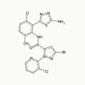 Cc1ccc(Cl)c(-c2nnc(N)s2)c1NC(=O)c1cc(Br)nn1-c1ncccc1Cl